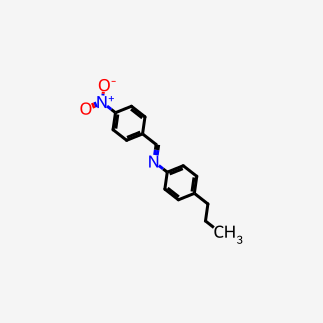 CCCc1ccc(N=Cc2ccc([N+](=O)[O-])cc2)cc1